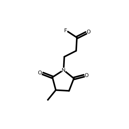 CC1CC(=O)N(CCC(=O)F)C1=O